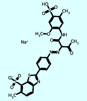 COc1cc(S(=O)(=O)O)c(C)cc1NC(=O)C(N=Nc1ccc(-c2nc3ccc(C)c(S(=O)(=O)[O-])c3s2)cc1)C(C)=O.[Na+]